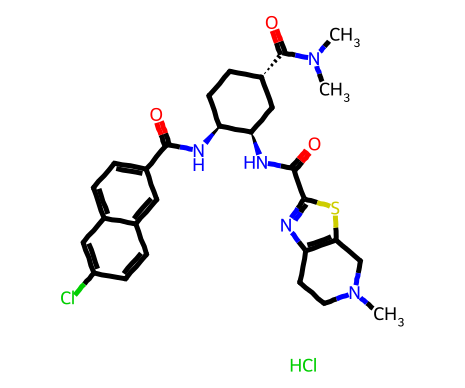 CN1CCc2nc(C(=O)N[C@@H]3C[C@@H](C(=O)N(C)C)CC[C@@H]3NC(=O)c3ccc4cc(Cl)ccc4c3)sc2C1.Cl